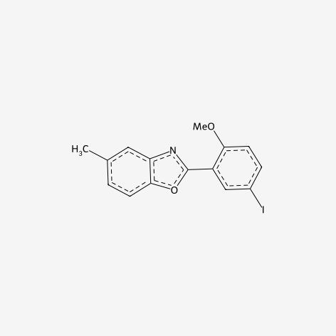 COc1ccc(I)cc1-c1nc2cc(C)ccc2o1